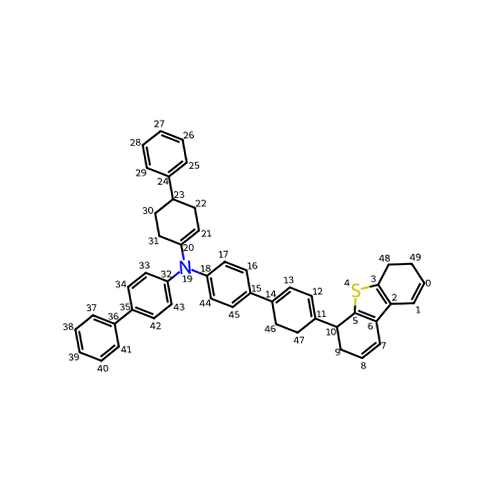 C1=Cc2c(sc3c2C=CCC3C2=CC=C(c3ccc(N(C4=CCC(c5ccccc5)CC4)c4ccc(-c5ccccc5)cc4)cc3)CC2)CC1